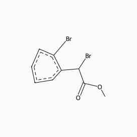 COC(=O)C(Br)c1ccccc1Br